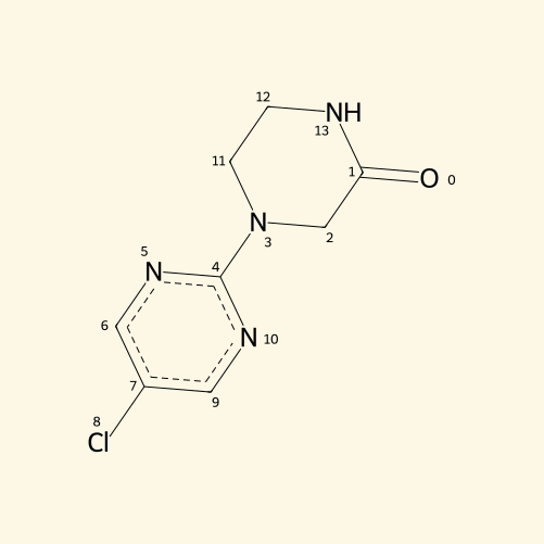 O=C1CN(c2ncc(Cl)cn2)CCN1